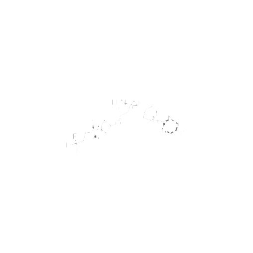 N[C@@]1(CCOC2CN(S(=O)(=O)CCC(F)(F)F)C2)C[C@@H]1C1CCN(c2ncc(Cl)cn2)CC1